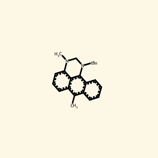 Cc1c2ccccc2c2c3c(cccc13)N(C)CN2C(C)(C)C